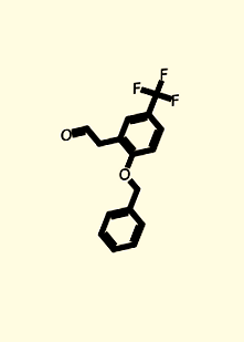 O=CCc1cc(C(F)(F)F)ccc1OCc1ccccc1